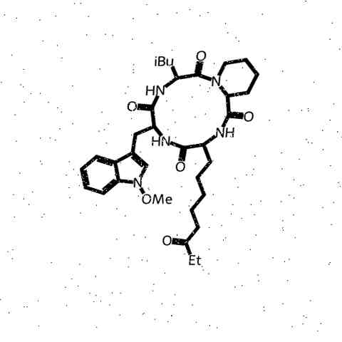 CCC(=O)CCCCCC1NC(=O)C2CCCCN2C(=O)C(C(C)CC)NC(=O)C(Cc2cn(OC)c3ccccc23)NC1=O